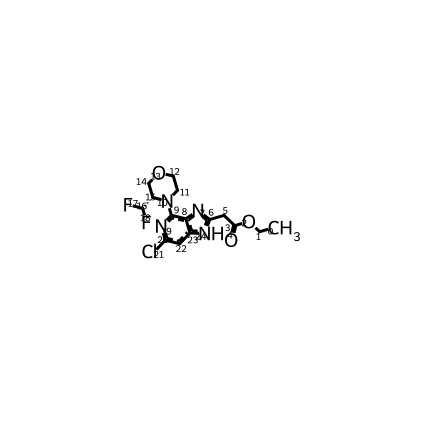 CCOC(=O)Cc1nc2c(N3CCOC[C@H]3C(F)F)nc(Cl)cc2[nH]1